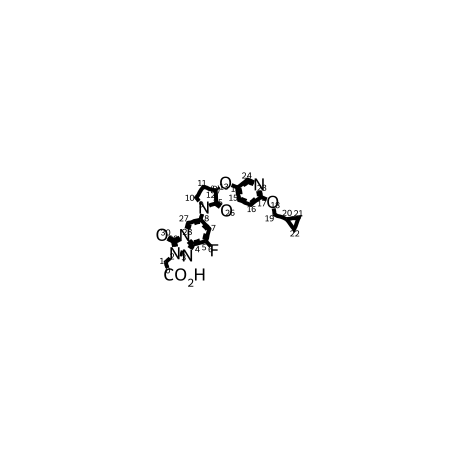 O=C(O)Cn1nc2c(F)cc(N3CC[C@@H](Oc4ccc(OCC5CC5)nc4)C3=O)cn2c1=O